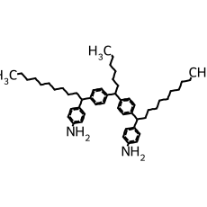 CCCCCCCCCCC(c1ccc(N)cc1)c1ccc(C(CCCCCC)c2ccc(C(CCCCCCCCCC)c3ccc(N)cc3)cc2)cc1